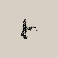 CN1CCC(N2CC[C@H](N(Cc3ccc(N(C)c4ccncc4)cc3)C(=O)/C=C/c3ccc(C(F)(F)F)cc3)[C@@H](F)C2)CC1